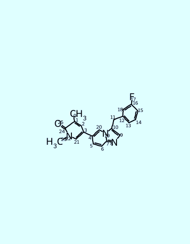 Cc1cc(-c2ccc3ncc(Cc4cccc(F)c4)n3c2)cn(C)c1=O